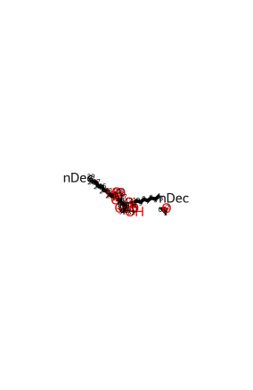 C1CO1.CCCCCCCCCCCCCCCCCC(=O)O[C@H]1[C@@H]([C@@H](CO)OC(=O)CCCCCCCCCCCCCCCCC)OC[C@@H]1O